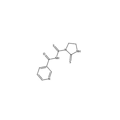 O=C(NC(=S)N1CCNC1=S)c1cccnc1